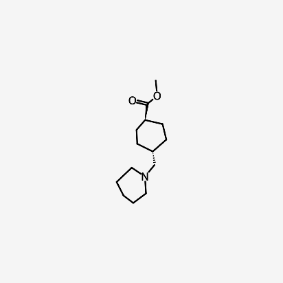 COC(=O)[C@H]1CC[C@H](CN2CCCCC2)CC1